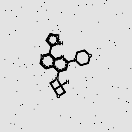 c1cc(-c2nccc3c(N4CC5OC[C@H]54)cc(N4CCOCC4)nc23)[nH]n1